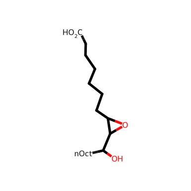 CCCCCCCCC(O)C1OC1CCCCCCC(=O)O